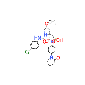 COC1CN(C(=O)Nc2ccc(Cl)cc2)C(CC(=O)O)(C(=O)N(F)c2ccc(N3CCCCC3=O)cc2)C1